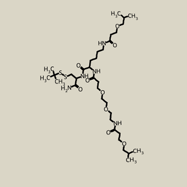 CC(C)COCCC(=O)NCCCCC(NC(=O)CCOCCOCCNC(=O)CCOCC(C)C)C(=O)NC(CSSC(C)(C)C)C(N)=O